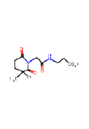 CCC1(C)CCC(=O)N(CC(=O)NCCC(=O)O)C1=O